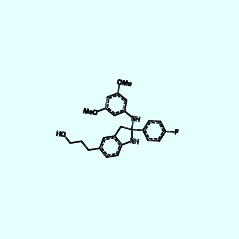 COc1cc(NC2(c3ccc(F)cc3)Cc3cc(CCCO)ccc3N2)cc(OC)c1